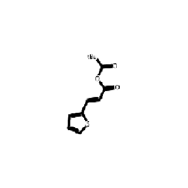 CC(C)(C)C(=O)OC(=O)C=Cc1cccs1